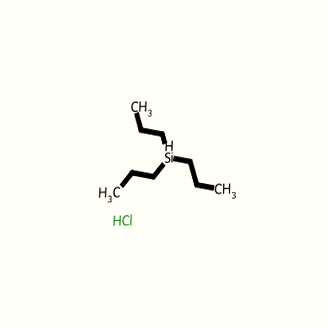 CCC[SiH](CCC)CCC.Cl